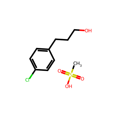 CS(=O)(=O)O.OCCCc1ccc(Cl)cc1